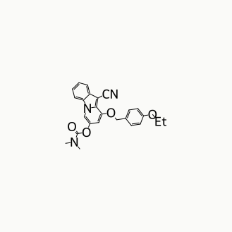 CCOc1ccc(COc2cc(OC(=O)N(C)C)cn3c2c(C#N)c2ccccc23)cc1